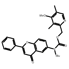 COc1c(C)cnc(COC(=O)N(c2ccc3oc(-c4ccccc4)cc(=O)c3c2)C(C)(C)C)c1C